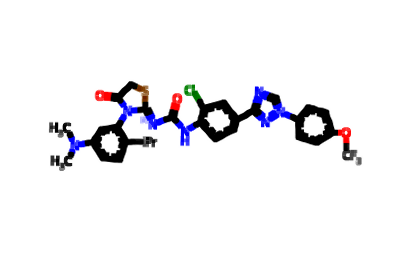 CC(C)c1ccc(N(C)C)cc1N1C(=O)CS/C1=N\C(=O)Nc1ccc(-c2ncn(-c3ccc(OC(F)(F)F)cc3)n2)cc1Cl